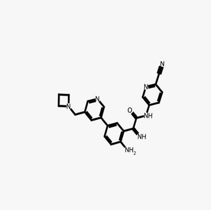 N#Cc1ccc(NC(=O)C(=N)c2cc(-c3cncc(CN4CCC4)c3)ccc2N)cn1